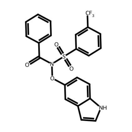 O=C(c1ccccc1)N(Oc1ccc2[nH]ccc2c1)S(=O)(=O)c1cccc(C(F)(F)F)c1